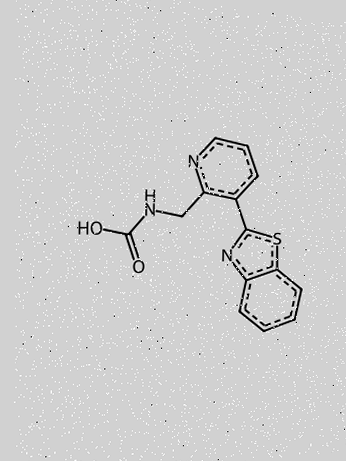 O=C(O)NCc1ncccc1-c1nc2ccccc2s1